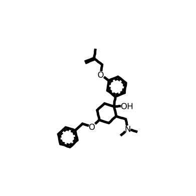 C=C(C)COc1cccc(C2(O)CCC(OCc3ccccc3)CC2CN(C)C)c1